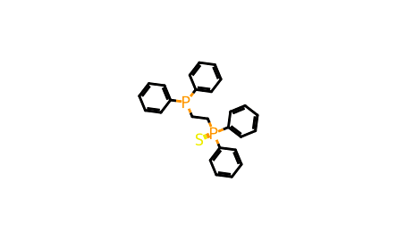 S=P(CCP(c1ccccc1)c1ccccc1)(c1ccccc1)c1ccccc1